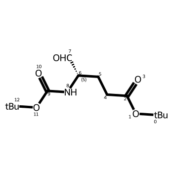 CC(C)(C)OC(=O)CC[C@@H](C=O)NC(=O)OC(C)(C)C